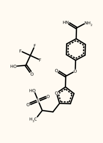 CC(Cc1ccc(C(=O)Oc2ccc(C(=N)N)cc2)o1)S(=O)(=O)O.O=C(O)C(F)(F)F